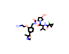 Cc1ncsc1-c1ccc(CNC(=O)[C@@H]2C[C@@H](O)CN2C(=O)C(NC(=O)C2(F)CC2)C(C)C)c(OCCN)c1